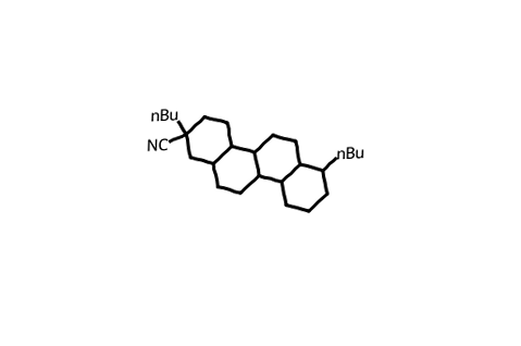 CCCCC1CCCC2C1CCC1C3CCC(C#N)(CCCC)CC3CCC21